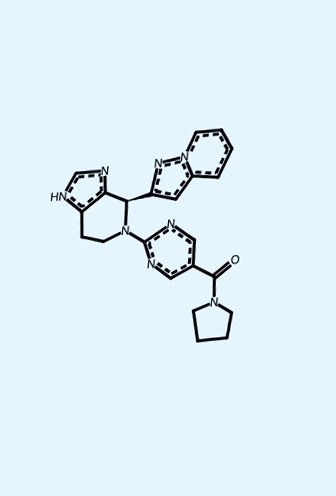 O=C(c1cnc(N2CCc3[nH]cnc3[C@H]2c2cc3ccccn3n2)nc1)N1CCCC1